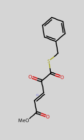 COC(=O)/C=C/C(=O)C(=O)SCc1ccccc1